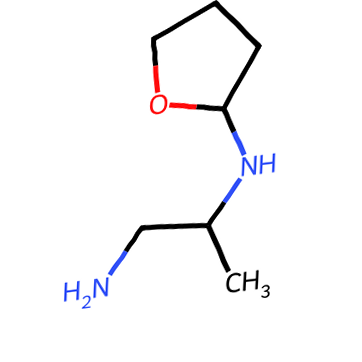 CC(CN)NC1CCCO1